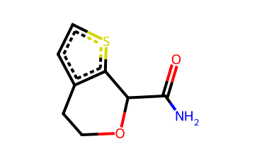 NC(=O)C1OCCc2ccsc21